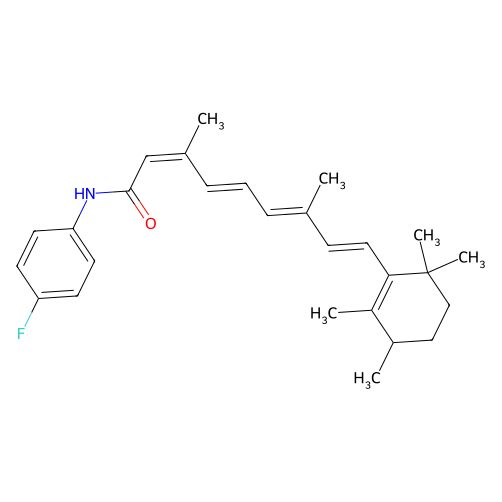 CC1=C(/C=C/C(C)=C/C=C/C(C)=C\C(=O)Nc2ccc(F)cc2)C(C)(C)CCC1C